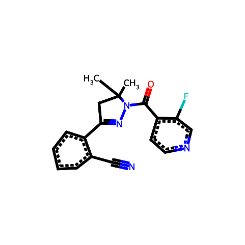 CC1(C)CC(c2ccccc2C#N)=NN1C(=O)c1ccncc1F